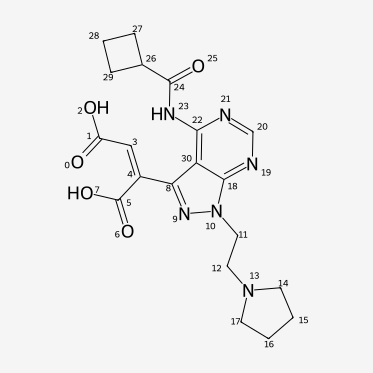 O=C(O)/C=C(\C(=O)O)c1nn(CCN2CCCC2)c2ncnc(NC(=O)C3CCC3)c12